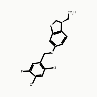 O=C(O)C[C@@H]1COc2cc(OCc3cc(F)c(Cl)cc3Cl)ccc21